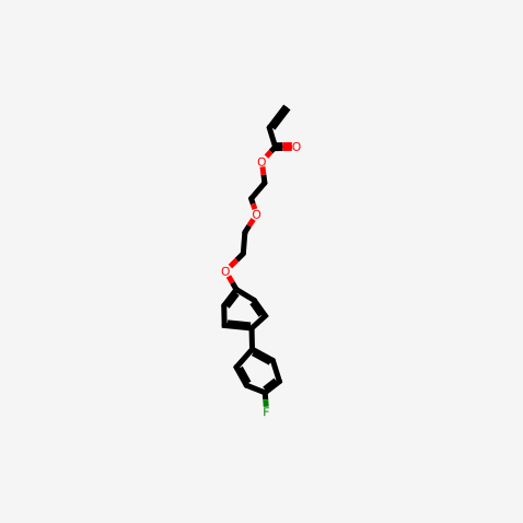 C=CC(=O)OCCOCCOc1ccc(-c2ccc(F)cc2)cc1